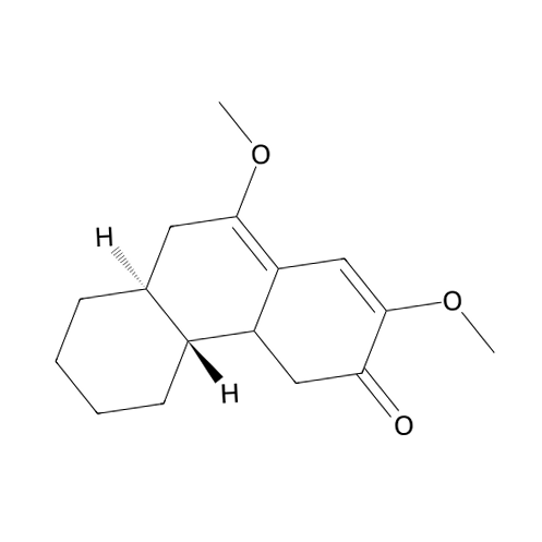 COC1=CC2=C(OC)C[C@@H]3CCCC[C@H]3C2CC1=O